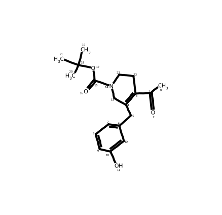 CC(=O)C1=C(Cc2cccc(O)c2)CN(C(=O)OC(C)(C)C)CC1